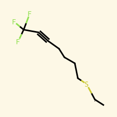 C[CH]SCCCCC#CC(F)(F)F